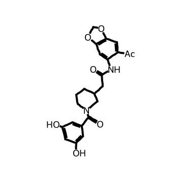 CC(=O)c1cc2c(cc1NC(=O)CC1CCCN(C(=O)c3cc(O)cc(O)c3)C1)OCO2